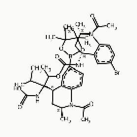 CC(=O)N1c2ccc(B3OC(C)(C)C(C)(C)O3)cc2[C@H](C(NC(=O)O)(C(C)C)C(C)OC(=O)N[C@@H]2C[C@H](C)N(C(C)=O)c3ccc(Br)cc32)C[C@@H]1C